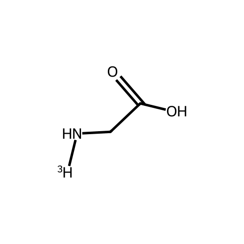 [3H]NCC(=O)O